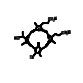 CCc1c(C)c2cc3nc(cc4[nH]c(cc5nc(cc1[nH]2)C(C)=C5C(C)O)c(C)c4CCC(=O)O)C(CCC(=O)O)=C3C